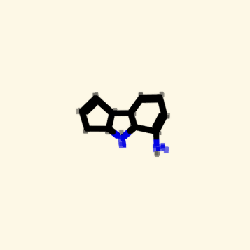 NC1=CC=CC2C1NC1CC=CC12